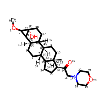 CCOC1C2[C@@H]3CC[C@@H]4[C@H](CC[C@]5(C)[C@@H](C(=O)CN6CCOCC6)CC[C@@H]45)[C@H]3CC[C@]12O